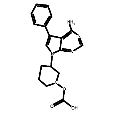 Nc1ncnc2c1c(-c1ccccc1)cn2C1CCCN(OC(=O)O)C1